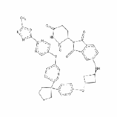 Cc1nnc(-c2ncc(Oc3ccc(C4(c5ccc(O[C@H]6C[C@H](Nc7ccc8c(c7)C(=O)N(C7CCC(=O)NC7=O)C8=O)C6)cc5)CCCC4)cc3)cn2)o1